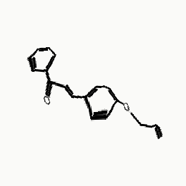 C=CCOc1ccc(C=CC(=O)c2ccccc2)cc1